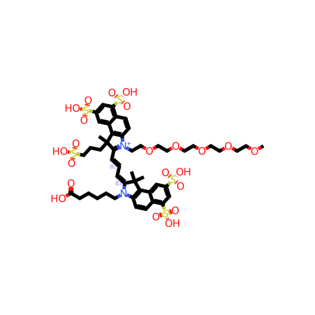 COCCOCCOCCOCCOCC[N+]1=C(/C=C/C=C2/N(CCCCCC(=O)O)c3ccc4c(S(=O)(=O)O)cc(S(=O)(=O)O)cc4c3C2(C)C)C(C)(CCCS(=O)(=O)O)c2c1ccc1c(S(=O)(=O)O)cc(S(=O)(=O)O)cc21